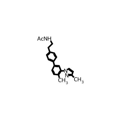 CC(=O)NCCc1ccc(-c2ccc(C)c(-n3ccc(C)n3)c2)cc1